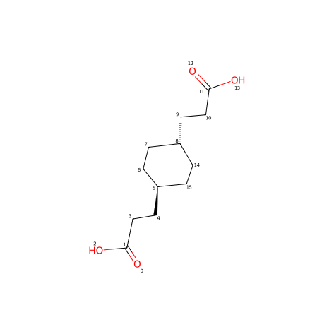 O=C(O)CC[C@H]1CC[C@H](CCC(=O)O)CC1